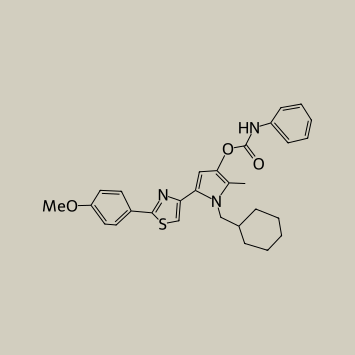 COc1ccc(-c2nc(-c3cc(OC(=O)Nc4ccccc4)c(C)n3CC3CCCCC3)cs2)cc1